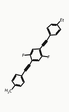 CCc1ccc(C#Cc2cc(F)c(C#Cc3ccc(C)cc3)cc2F)cc1